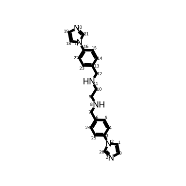 c1cn(-c2ccc(CNCCNCc3ccc(-n4ccnc4)cc3)cc2)cn1